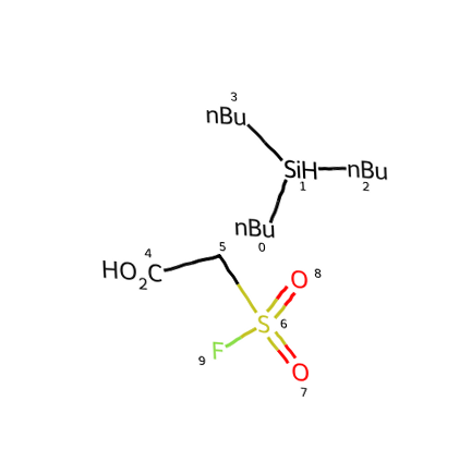 CCCC[SiH](CCCC)CCCC.O=C(O)CS(=O)(=O)F